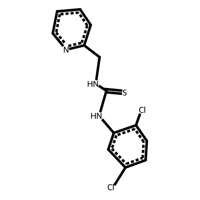 S=C(NCc1ccccn1)Nc1cc(Cl)ccc1Cl